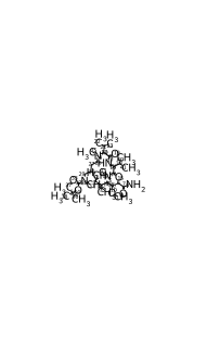 CC[C@H](C)[C@@H]([C@@H](CC(N)=O)OC)N(C)C(=O)[C@@H](NC(=O)[C@H](C(C)C)N(C)CCCCN(C)C(=O)OC(C)(C)C)C(C)C